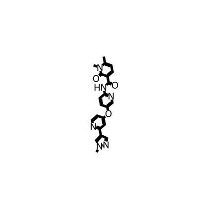 Cc1ccc(C(=O)Nc2ccc(Oc3ccnc(-c4cnn(C)c4)c3)cn2)c(=O)n1C